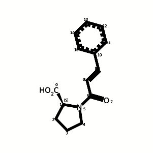 O=C(O)[C@@H]1CCCN1C(=O)C=Cc1ccccc1